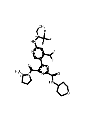 CC[C@H](Nc1cc(C(F)F)c(-c2sc(C(=O)NC3CCOCC3)nc2C(=O)N2CCC[C@@H]2C)cn1)C(F)(F)F